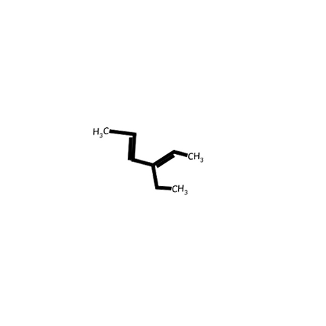 CC=[C]C(=CC)CC